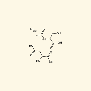 CC(=O)NC(CS)C(=O)O.O=C(O)CC(S)C(=O)O.[Au].[Au]